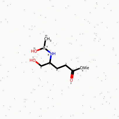 COC(=O)CCC(CO)NB(C)O